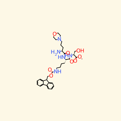 COC(=O)[C@H](CO)NC(=O)[C@H](CCCCNC(=O)OCC1c2ccccc2-c2ccccc21)NC(=O)[C@@H](N)CCCN1CCOCC1